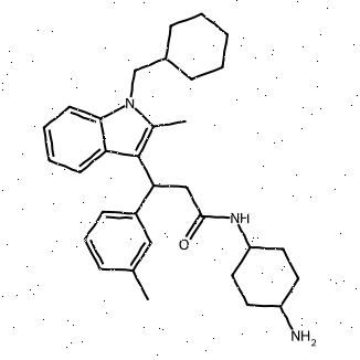 Cc1cccc(C(CC(=O)NC2CCC(N)CC2)c2c(C)n(CC3CCCCC3)c3ccccc23)c1